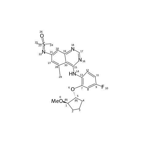 CO[C@@H]1CCC[C@H]1Oc1cc(F)ccc1Nc1ncnc2cc(N=S(C)(C)=O)cc(C)c12